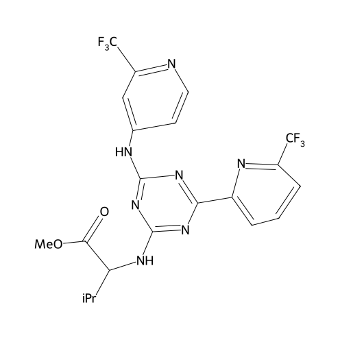 COC(=O)C(Nc1nc(Nc2ccnc(C(F)(F)F)c2)nc(-c2cccc(C(F)(F)F)n2)n1)C(C)C